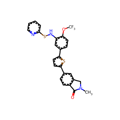 CN1Cc2cc(-c3ccc(-c4ccc(OC(F)(F)F)c(NSc5ccccn5)c4)s3)ccc2C1=O